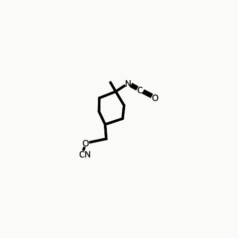 CC1(N=C=O)CCC(COC#N)CC1